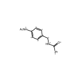 CC(=O)Nc1ccc(CNC(=O)C(C)C)cc1